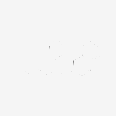 CCCCC(Cc1ccc2ccccc2c1)c1ccccc1